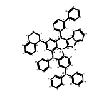 c1ccc(-c2cccc(N3c4cc(C5CCCc6ccccc65)cc5c4B(c4ccc(N(c6ccccc6)c6ccccc6)cc4N5c4ccccc4)c4sc5ccccc5c43)c2)cc1